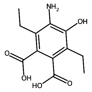 CCc1c(N)c(O)c(CC)c(C(=O)O)c1C(=O)O